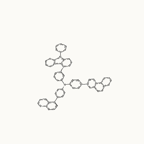 c1ccc(-n2c3ccccc3c3c(-c4cccc(N(c5ccc(-c6ccc7c(ccc8ccccc87)c6)cc5)c5ccc(-c6cccc7ccccc67)cc5)c4)cccc32)cc1